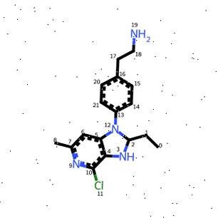 CCC1Nc2c(cc(C)nc2Cl)N1c1ccc(CCN)cc1